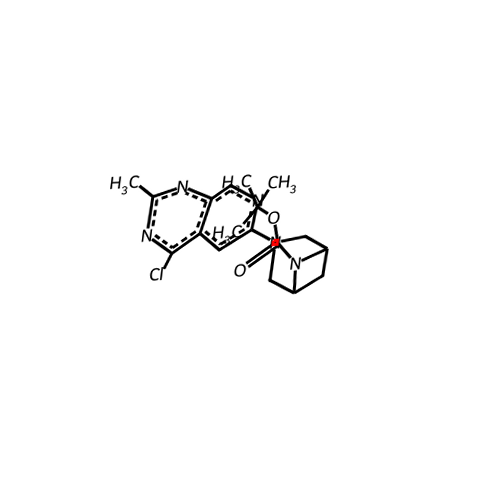 Cc1nc(Cl)c2cc(N3CC4CC(C3)N4C(=O)OC(C)(C)C)ncc2n1